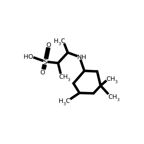 CC1CC(NC(C)C(C)S(=O)(=O)O)CC(C)(C)C1